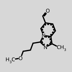 COCCCc1nc(C)c2ccc(C=O)cn12